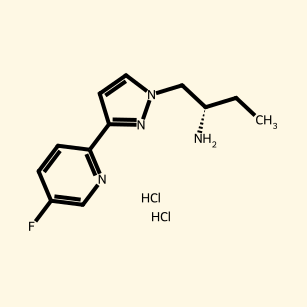 CC[C@H](N)Cn1ccc(-c2ccc(F)cn2)n1.Cl.Cl